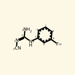 N#C/N=C(/N)Nc1cccc(F)c1